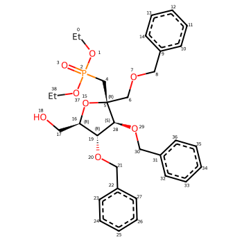 CCOP(=O)(C[C@]1(COCc2ccccc2)O[C@H](CO)[C@@H](OCc2ccccc2)[C@@H]1OCc1ccccc1)OCC